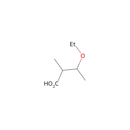 CCOC(C)C(C)C(=O)O